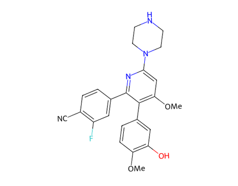 COc1ccc(-c2c(OC)cc(N3CCNCC3)nc2-c2ccc(C#N)c(F)c2)cc1O